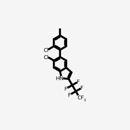 Cc1ccc(-c2cc3cc(C(F)(F)C(F)(F)C(F)(F)F)[nH]c3cc2Cl)c(Cl)c1